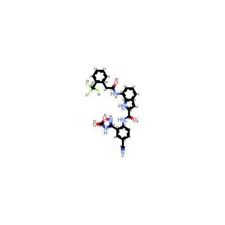 N#Cc1ccc(NC(=O)c2cc3cccc(NC(=O)Cc4ccccc4C(F)(F)F)c3[nH]2)c(-c2noc(=O)[nH]2)c1